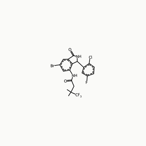 CC(C)(CC(=O)Nc1cc(Br)cc2c1C(c1cc(F)ccc1Cl)NC2=O)C(F)(F)F